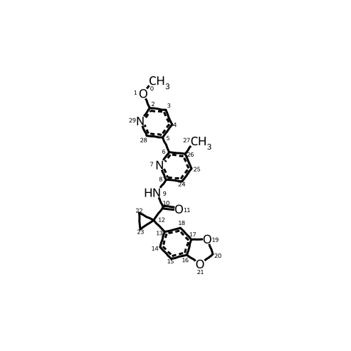 COc1ccc(-c2nc(NC(=O)C3(c4ccc5c(c4)OCO5)CC3)ccc2C)cn1